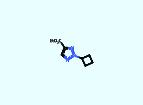 CCOC(=O)c1cnn(C2CCC2)n1